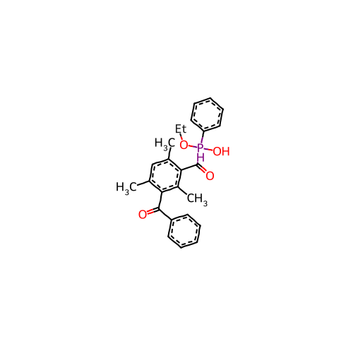 CCO[PH](O)(C(=O)c1c(C)cc(C)c(C(=O)c2ccccc2)c1C)c1ccccc1